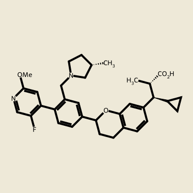 COc1cc(-c2ccc(C3CCc4ccc([C@H](C5CC5)[C@H](C)C(=O)O)cc4O3)cc2CN2CC[C@H](C)C2)c(F)cn1